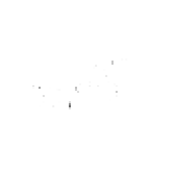 O=C(O)c1cc2c(c3ccccc13)OC(c1cc(F)c(F)cc1F)CC2